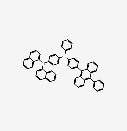 c1ccc(-c2c3ccccc3c(-c3ccc(N(c4ccccc4)c4ccc(N(c5cccc6ccccc56)c5cccc6ccccc56)cc4)cc3)c3ccccc23)cc1